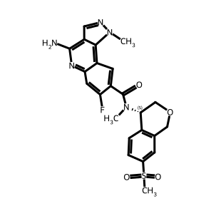 CN(C(=O)c1cc2c(cc1F)nc(N)c1cnn(C)c12)[C@@H]1COCc2cc(S(C)(=O)=O)ccc21